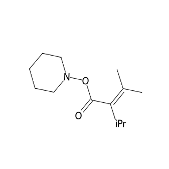 CC(C)=C(C(=O)ON1CCCCC1)C(C)C